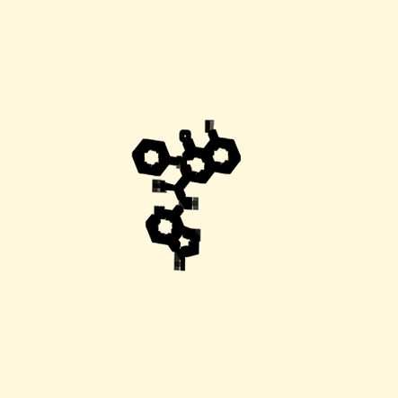 CC[C@H](Nc1nccc2[nH]cnc12)c1cc2cccc(F)c2c(=O)n1-c1ccccc1